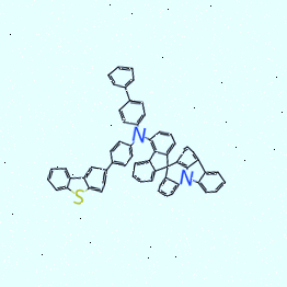 c1ccc(-c2ccc(N(c3ccc(-c4ccc5sc6ccccc6c5c4)cc3)c3cccc4c3-c3ccccc3C43c4ccccc4-n4c5ccccc5c5cccc3c54)cc2)cc1